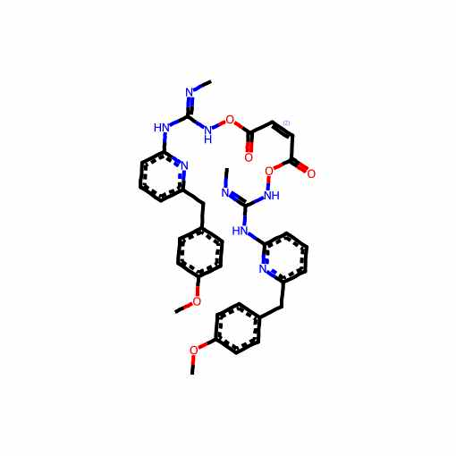 CN=C(NOC(=O)/C=C\C(=O)ONC(=NC)Nc1cccc(Cc2ccc(OC)cc2)n1)Nc1cccc(Cc2ccc(OC)cc2)n1